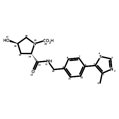 Cc1ncsc1-c1ccc(CNC(=O)[C@@H]2C[C@@H](O)CN2C(=O)O)cc1